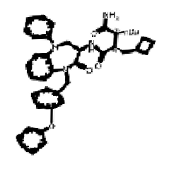 CCCC[C@H](C(N)=O)[C@@H](CC1CCC1)C(=O)NC1CN(c2ccccc2)c2ccccc2N(Cc2cccc(Oc3ccccc3)c2)C1=O